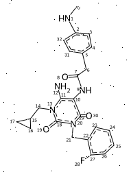 CNc1ccc(CC(=O)Nc2c(N)n(CC3CC3)c(=O)n(Cc3ccccc3F)c2=O)cc1